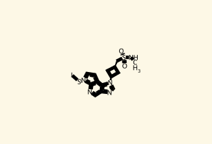 CNS(=O)(=O)C[C@H]1C[C@@H](n2cnc3cnc4c(ccn4SI)c32)C1